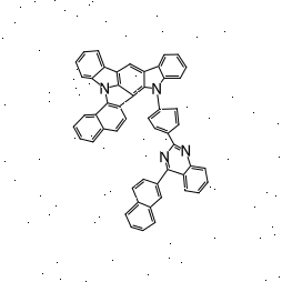 c1ccc2cc(-c3nc(-c4ccc(-n5c6ccccc6c6cc7c8ccccc8n8c9c%10ccccc%10ccc9c(c65)c78)cc4)nc4ccccc34)ccc2c1